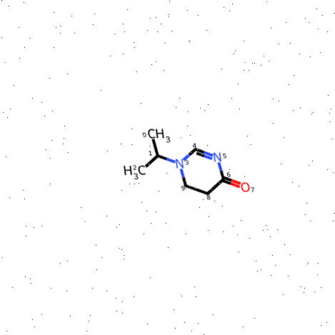 CC(C)N1C=NC(=O)CC1